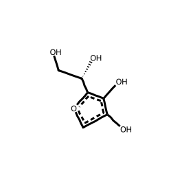 OC[C@H](O)c1occ(O)c1O